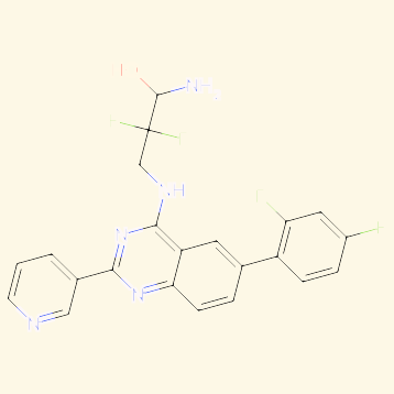 NC(O)C(F)(F)CNc1nc(-c2cccnc2)nc2ccc(-c3ccc(F)cc3F)cc12